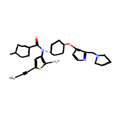 CC1CCC(C(=O)N(c2cc(C#CC(C)(C)C)sc2C(=O)O)[C@H]2CC[C@H](Oc3ccnc(CN4CCCC4)c3)CC2)CC1